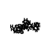 CN(Cc1nc2cccc(N3CC[C@@H](N(C(=O)O)C(C)(C)C)C3)n2c1CO)[C@H]1CCCc2cccnc21